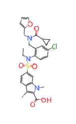 CCN(c1ccc(Cl)cc1CN(Cc1ccco1)C(=O)C1CC1)S(=O)(=O)c1ccc2c(C)c(C(=O)O)n(C)c2c1